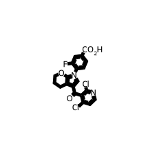 O=C(O)c1ccc(-n2cc(C(=O)c3c(Cl)ccnc3Cl)c3c2OCCC3)c(F)c1